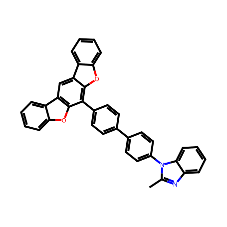 Cc1nc2ccccc2n1-c1ccc(-c2ccc(-c3c4oc5ccccc5c4cc4c3oc3ccccc34)cc2)cc1